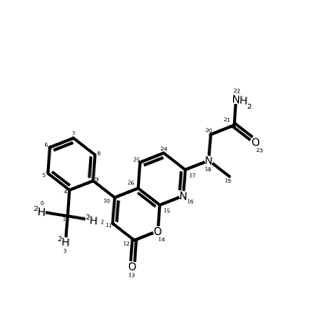 [2H]C([2H])([2H])c1ccccc1-c1cc(=O)oc2nc(N(C)CC(N)=O)ccc12